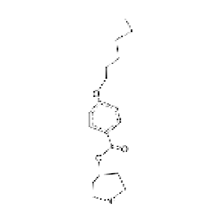 CCCCCCOc1ccc(C(=O)OC2CC[N]CC2)cc1